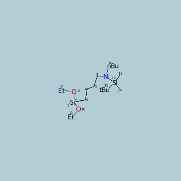 CCCCN(CCCC[Si](C)(OCC)OCC)[Si](C)(C)C(C)(C)C